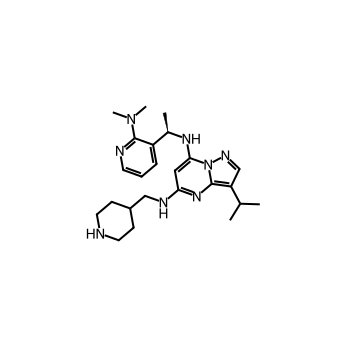 CC(C)c1cnn2c(N[C@H](C)c3cccnc3N(C)C)cc(NCC3CCNCC3)nc12